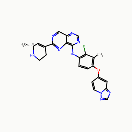 Cc1c(Oc2ccn3ncnc3c2)ccc(Nc2ncnc3cnc(C4=C[C@@H](C)NCC4)nc23)c1F